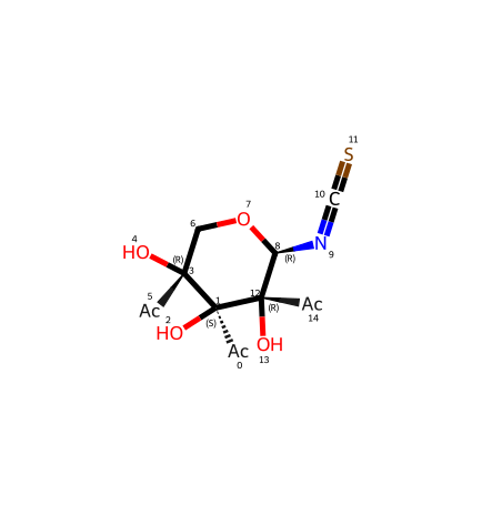 CC(=O)[C@]1(O)[C@@](O)(C(C)=O)CO[C@@H](N=C=S)[C@@]1(O)C(C)=O